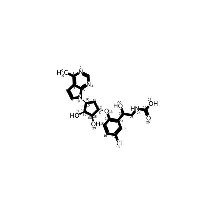 Cc1ncnc2c1ccn2[C@@H]1C[C@H](Oc2ccc(Cl)cc2C(O)CNC(=O)O)[C@@H](O)[C@H]1O